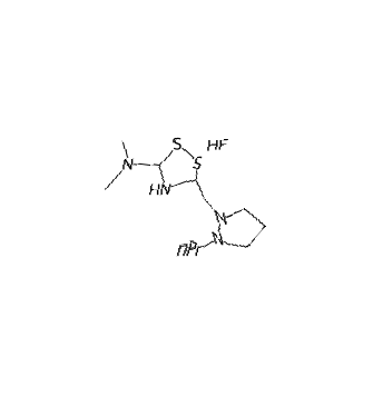 CCCN1CCCN1C1NC(N(C)C)SS1.F